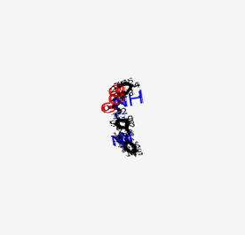 O=C(/C=C/c1ccc(Cn2cnc3ccccc32)cc1)NOC1CCCCO1